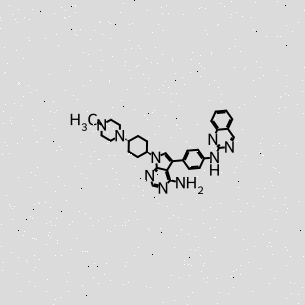 CN1CCN([C@H]2CC[C@H](n3cc(-c4ccc(Nc5ncc6ccccc6n5)cc4)c4c(N)ncnc43)CC2)CC1